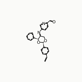 C=Cc1ccc([C@@H]2OCC(=Nc3ccc(C=O)nc3)[C@H](c3ccccc3)O2)cc1